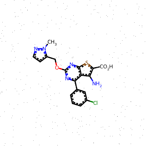 Cn1nccc1COc1nc(-c2cccc(Cl)c2)c2c(N)c(C(=O)O)sc2n1